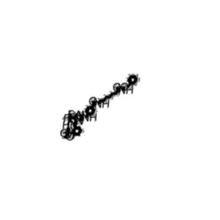 CN(c1ccccc1Nc1nc(Nc2ccc(C(=O)NCCCCCCC(=O)NOCc3ccccc3)cc2)ncc1C(F)(F)F)S(C)(=O)=O